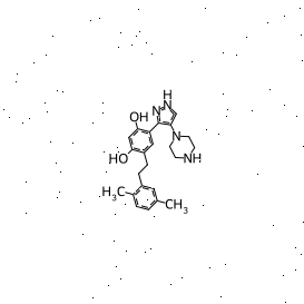 Cc1ccc(C)c(CCc2cc(-c3n[nH]cc3N3CCNCC3)c(O)cc2O)c1